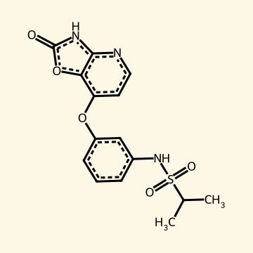 CC(C)S(=O)(=O)Nc1cccc(Oc2ccnc3[nH]c(=O)oc23)c1